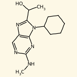 CNc1ncc2nc(C(C)O)n(C3CCCCC3)c2n1